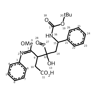 COC(=Nc1ccccc1)C(CC(=O)O)C(O)(CC(NC(=O)OC(C)(C)C)c1ccccc1)P=O